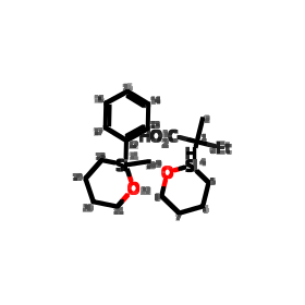 CCC(C)(C(=O)O)[SiH]1CCCCO1.C[Si]1(c2ccccc2)CCCCO1